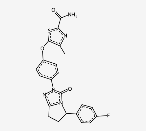 Cc1nc(C(N)=O)sc1Oc1ccc(-n2nc3n(c2=O)C(c2ccc(F)cc2)CC3)cc1